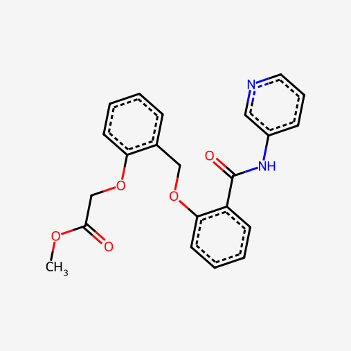 COC(=O)COc1ccccc1COc1ccccc1C(=O)Nc1cccnc1